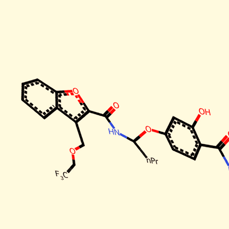 CCCC(NC(=O)c1oc2ccccc2c1COCC(F)(F)F)Oc1ccc(C(N)=O)c(O)c1